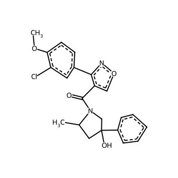 COc1ccc(-c2nocc2C(=O)N2CC(O)(c3ccccc3)CC2C)cc1Cl